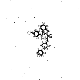 O=C(NCC1CCN(c2ccncc2)CC1)C1Cc2ccccc2N1Cc1ccc(Cl)cc1